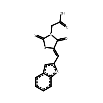 O=C(O)CN1C(=O)/C(=C/c2cc3ccccc3s2)SC1=S